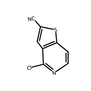 N#Cc1cc2c(Cl)nccc2s1